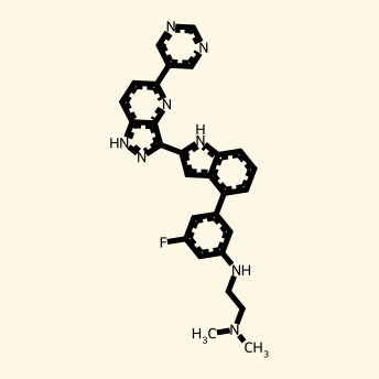 CN(C)CCNc1cc(F)cc(-c2cccc3[nH]c(-c4n[nH]c5ccc(-c6cncnc6)nc45)cc23)c1